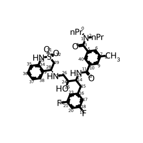 CCCN(CCC)C(=O)c1cc(C)cc(C(=O)NC(Cc2cc(F)cc(F)c2)C(O)CN[C@H]2CS(=O)(=O)Nc3ccccc32)c1